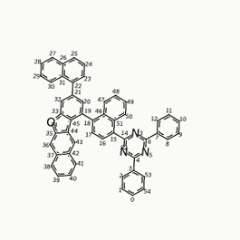 c1ccc(-c2nc(-c3ccccc3)nc(-c3ccc(-c4cc(-c5cccc6ccccc56)cc5oc6cc7ccccc7cc6c45)c4ccccc34)n2)cc1